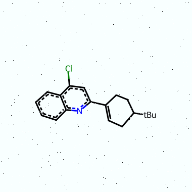 CC(C)(C)C1CC=C(c2cc(Cl)c3ccccc3n2)CC1